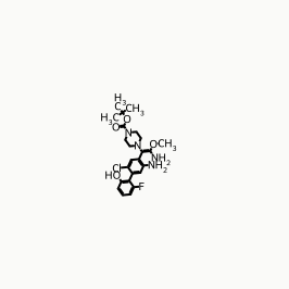 CO/C(N)=C(/c1cc(Cl)c(-c2c(O)cccc2F)cc1N)N1CCN(C(=O)OC(C)(C)C)CC1